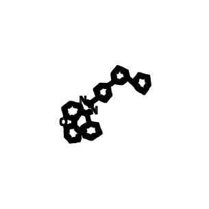 c1ccc(-c2cccc(-c3ccc(-c4nc(-c5ccccc5)c5c(ccc6oc7ccccc7c65)n4)cc3)c2)cc1